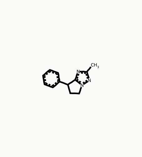 Cc1nc2n(n1)CCC2c1ccccc1